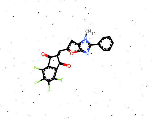 Cn1c(-c2ccccc2)nc2oc(C=C3C(=O)c4c(F)c(F)c(F)c(F)c4C3=O)cc21